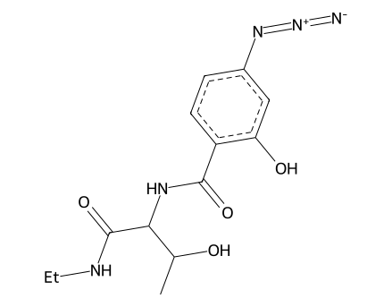 CCNC(=O)C(NC(=O)c1ccc(N=[N+]=[N-])cc1O)C(C)O